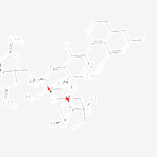 C#Cc1cc(F)cc2cccc(-c3ncc4c(N5C[C@H]6CC[C@@H](C5)N6C(=O)OC(C)(C)C)nc(OCC56CC(=C)CN5CC(=C)C6)nc4c3F)c12